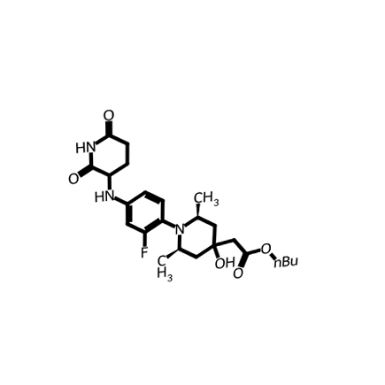 CCCCOC(=O)CC1(O)C[C@@H](C)N(c2ccc(NC3CCC(=O)NC3=O)cc2F)[C@@H](C)C1